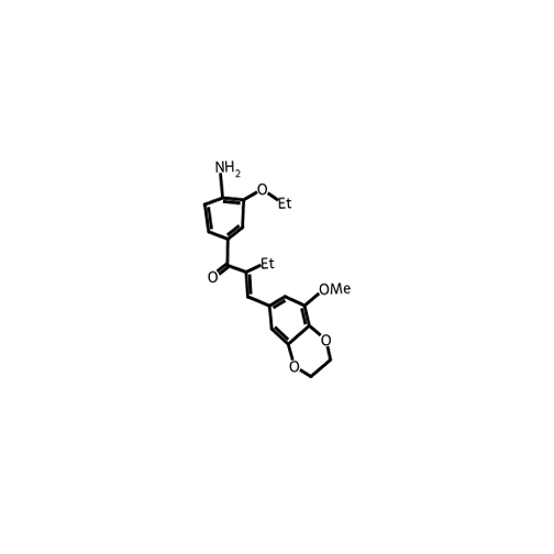 CCOc1cc(C(=O)/C(=C/c2cc(OC)c3c(c2)OCCO3)CC)ccc1N